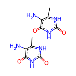 Cc1[nH]c(=O)[nH]c(=O)c1N.Cc1[nH]c(=O)[nH]c(=O)c1N